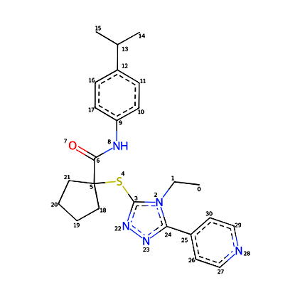 CCn1c(SC2(C(=O)Nc3ccc(C(C)C)cc3)CCCC2)nnc1-c1ccncc1